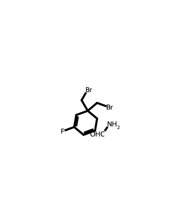 FC1=CC(CBr)(CBr)CC=C1.NC=O